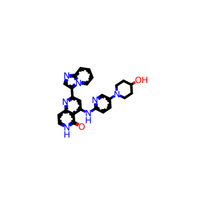 O=c1[nH]ccc2nc(-c3cnc4ccccn34)cc(Nc3ccc(N4CCC(O)CC4)cn3)c12